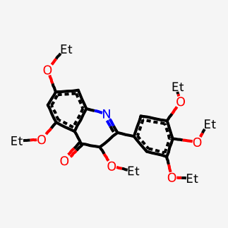 CCOc1cc2c(c(OCC)c1)C(=O)C(OCC)C(c1cc(OCC)c(OCC)c(OCC)c1)=N2